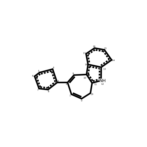 C1=CC(c2ccccc2)=Cc2c([nH]c3ccccc23)C1